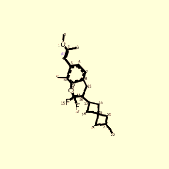 CO/C(C)=C/c1ccc2c(c1C)OC(F)(F)C(C1CC3(CC(C)C3)C1)C2